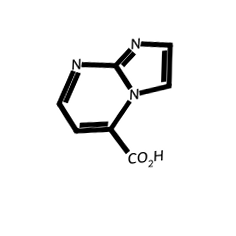 O=C(O)c1ccnc2nccn12